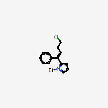 CCn1cccc1/C(=C/CCCl)c1ccccc1